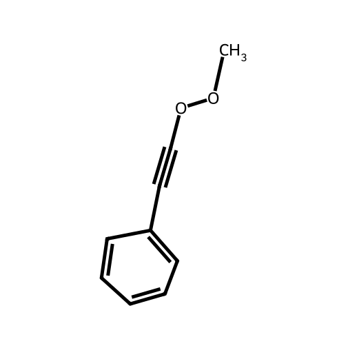 COOC#Cc1ccccc1